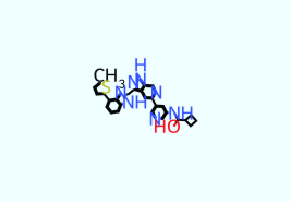 Cc1ccc(-c2cccc3[nH]c(-c4n[nH]c5cnc(-c6cncc(NC(O)C7CCC7)c6)cc45)nc23)s1